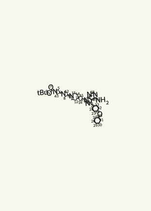 CC(C)(C)OC(=O)N1CC(N2CC(N3CCC4(CC3)CC(n3nc(-c5ccc(Oc6ccccc6)cc5)c5c(N)ncnc53)C4)C2)C1